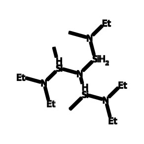 CCN(C)[SiH2]N([SiH](C)N(CC)CC)[SiH](C)N(CC)CC